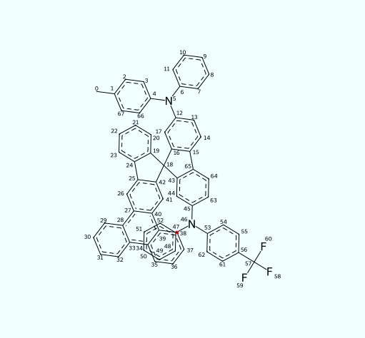 Cc1ccc(N(c2ccccc2)c2ccc3c(c2)C2(c4ccccc4-c4cc5c6ccccc6c6ccccc6c5cc42)c2cc(N(c4ccccc4)c4ccc(C(F)(F)F)cc4)ccc2-3)cc1